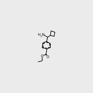 CCOC(=O)c1ccc(C(N)C2CCC2)cc1